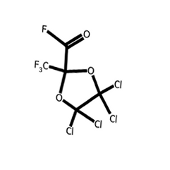 O=C(F)C1(C(F)(F)F)OC(Cl)(Cl)C(Cl)(Cl)O1